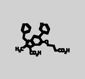 Cc1c(C(=O)O)c2cc(OCCCC(=O)O)c(-c3cccnc3)cc2n1Cc1ccccc1